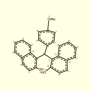 COc1ccc(C(c2c(O)ccc3ccccc23)c2c(O)ccc3ccccc23)cc1